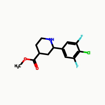 COC(=O)C1CCNC(c2cc(F)c(Cl)c(F)c2)C1